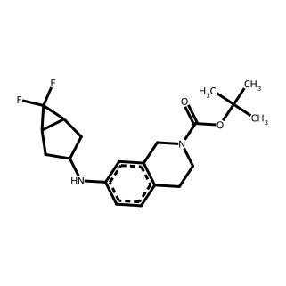 CC(C)(C)OC(=O)N1CCc2ccc(NC3CC4C(C3)C4(F)F)cc2C1